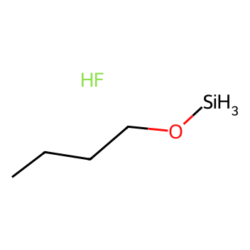 CCCCO[SiH3].F